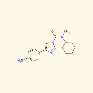 CN(C(=O)n1cnc(-c2ccc(N)cc2)c1)C1CCCCC1